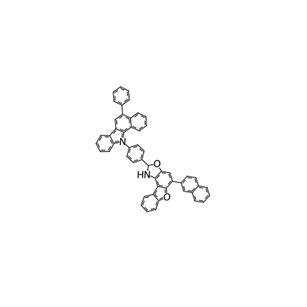 c1ccc(-c2cc3c4ccccc4n(-c4ccc(C5Nc6c(cc(-c7ccc8ccccc8c7)c7oc8ccccc8c67)O5)cc4)c3c3ccccc23)cc1